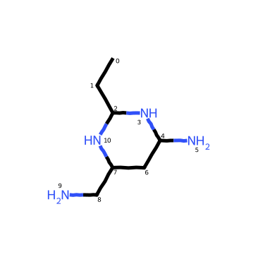 CCC1NC(N)CC(CN)N1